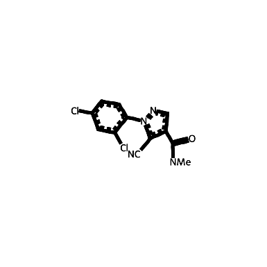 CNC(=O)c1cnn(-c2ccc(Cl)cc2Cl)c1C#N